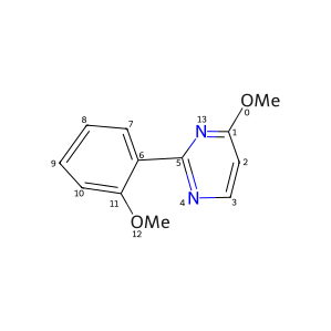 COc1ccnc(-c2ccccc2OC)n1